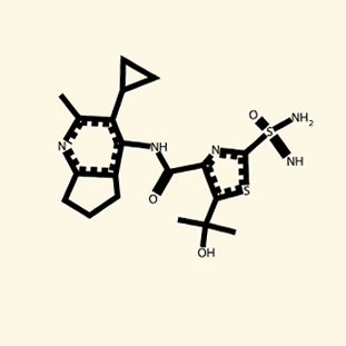 Cc1nc2c(c(NC(=O)c3nc(S(=N)(N)=O)sc3C(C)(C)O)c1C1CC1)CCC2